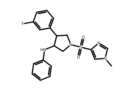 Cn1cnc(S(=O)(=O)N2CC(Nc3ccccc3)C(c3cccc(F)c3)C2)c1